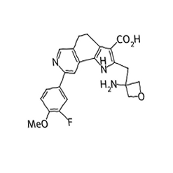 COc1ccc(-c2cc3c(cn2)CCc2c-3[nH]c(CC3(N)COC3)c2C(=O)O)cc1F